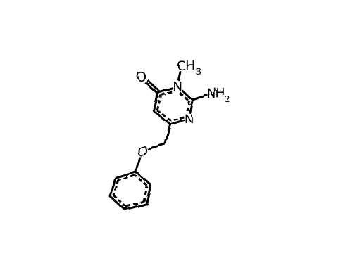 Cn1c(N)nc(COc2ccccc2)cc1=O